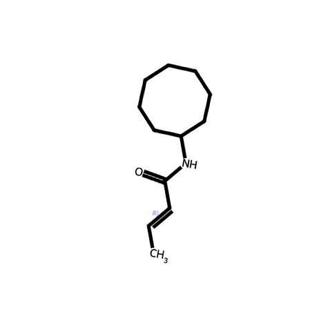 C/C=C/C(=O)NC1CCCCCCC1